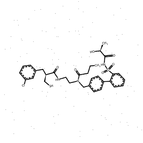 CCCC(=O)N(CCNC(=O)[C@@H](CS)Cc1cccc(Cl)c1)Cc1ccc(-c2ccccc2S(=O)(=O)NC(=O)[C@H](C)O)cc1